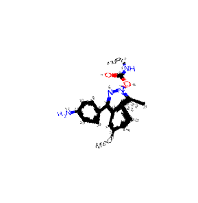 CCCNC(=O)ON1N=C(c2ccc(N)cc2)c2cc(OC)ccc2C1C